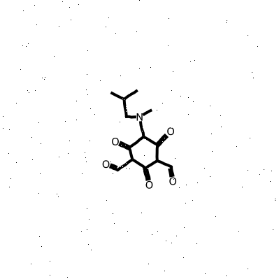 CC(C)CN(C)C1C(=O)C(C=O)C(=O)C(C=O)C1=O